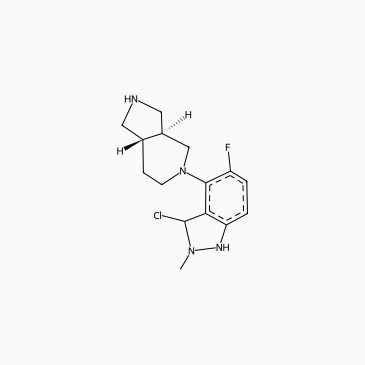 CN1Nc2ccc(F)c(N3CC[C@@H]4CNC[C@H]4C3)c2C1Cl